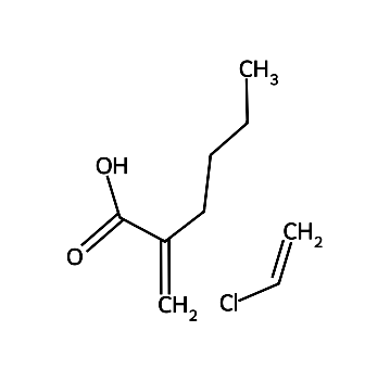 C=C(CCCC)C(=O)O.C=CCl